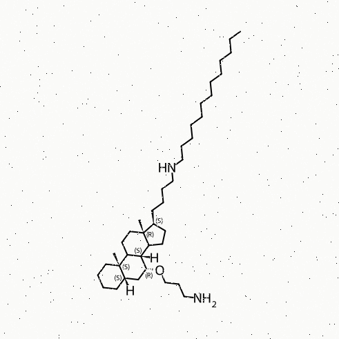 CCCCCCCCCCCCCNCCCC[C@H]1CCC2[C@H]3C(CC[C@@]21C)[C@@]1(C)CCCC[C@H]1C[C@H]3OCCCN